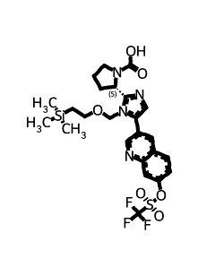 C[Si](C)(C)CCOCn1c(-c2cnc3cc(OS(=O)(=O)C(F)(F)F)ccc3c2)cnc1[C@@H]1CCCN1C(=O)O